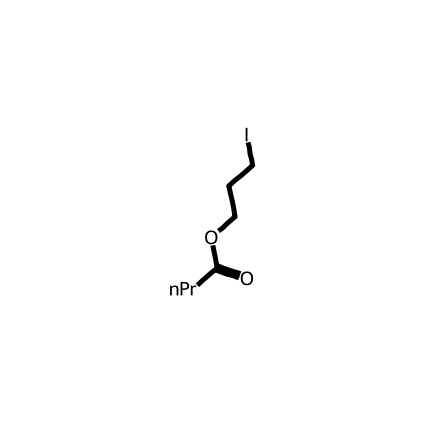 CCCC(=O)OCCCI